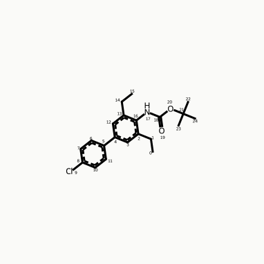 CCc1cc(-c2ccc(Cl)cc2)cc(CC)c1NC(=O)OC(C)(C)C